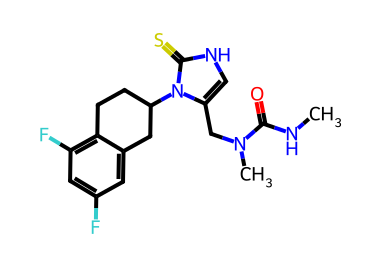 CNC(=O)N(C)Cc1c[nH]c(=S)n1C1CCc2c(F)cc(F)cc2C1